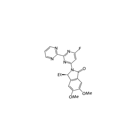 CC[C@@H]1c2cc(OC)c(OC)cc2C(=O)N1c1cc(F)nc(-c2ncccn2)n1